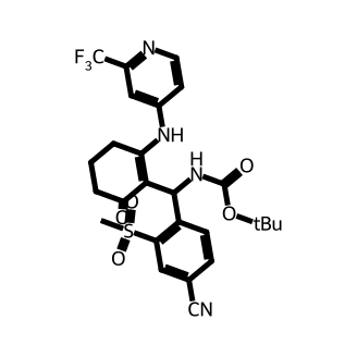 CC(C)(C)OC(=O)NC(C1=C(Nc2ccnc(C(F)(F)F)c2)CCCC1=O)c1ccc(C#N)cc1S(C)(=O)=O